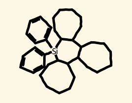 c1ccc([Si]2(c3ccccc3)C3CCCCCCC3C3CCCCCCC3C3CCCCCCC32)cc1